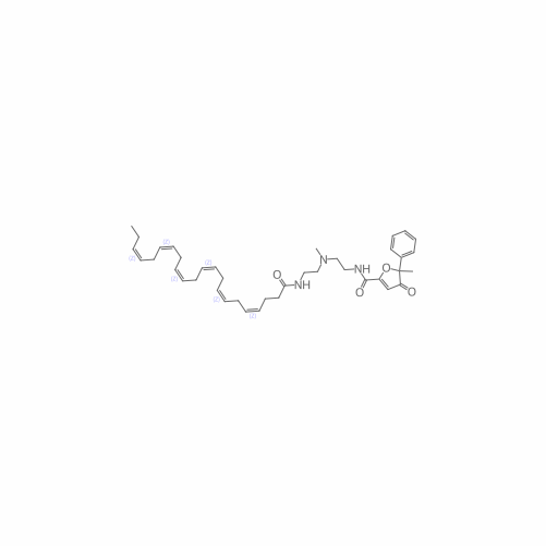 CC/C=C\C/C=C\C/C=C\C/C=C\C/C=C\C/C=C\CCC(=O)NCCN(C)CCNC(=O)C1=CC(=O)C(C)(c2ccccc2)O1